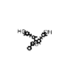 CC1=CC(C(C)(C)c2ccc(O)c(C)c2)=CC1C(c1ccc(-c2ccccc2)cc1)c1cc(C(C)(C)c2ccc(O)c(C)c2)cc(C)c1O